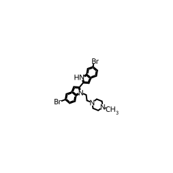 CN1CCN(CCn2c(-c3cc4ccc(Br)cc4[nH]3)cc3cc(Br)ccc32)CC1